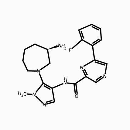 Cn1ncc(NC(=O)c2cncc(-c3ccccc3F)n2)c1N1CCCC[C@@H](N)C1